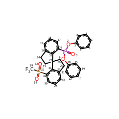 O=P(Oc1ccccc1)(Oc1ccccc1)c1cccc2c1[C@]1(CC2)CCc2cccc(S(=O)(=O)C(F)(F)F)c21